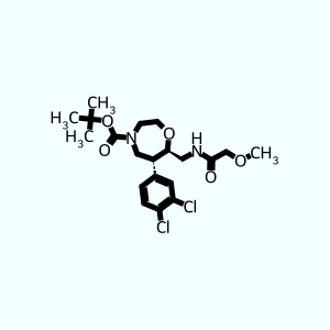 COCC(=O)NC[C@@H]1OCCN(C(=O)OC(C)(C)C)C[C@H]1c1ccc(Cl)c(Cl)c1